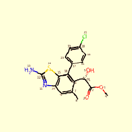 COC(=O)[C@@H](O)c1c(C)cc2nc(N)sc2c1-c1ccc(Cl)cc1